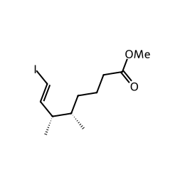 COC(=O)CCC[C@H](C)[C@H](C)/C=C/I